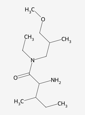 CCC(C)C(N)C(=O)N(CC)CC(C)COC